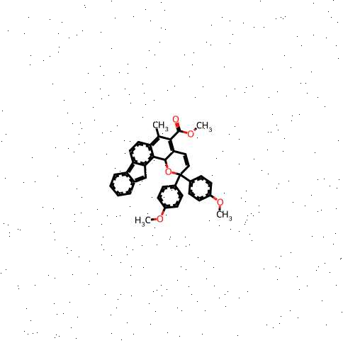 COC(=O)C1=C2C=CC(c3ccc(OC)cc3)(c3ccc(OC)cc3)OC2c2c3c(ccc2=C1C)=c1ccccc1=C3